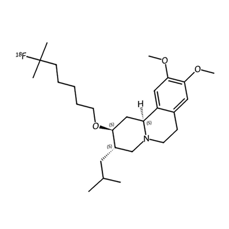 COc1cc2c(cc1OC)[C@@H]1C[C@H](OCCCCCC(C)(C)[18F])[C@@H](CC(C)C)CN1CC2